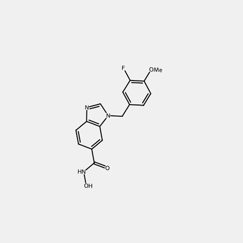 COc1ccc(Cn2cnc3ccc(C(=O)NO)cc32)cc1F